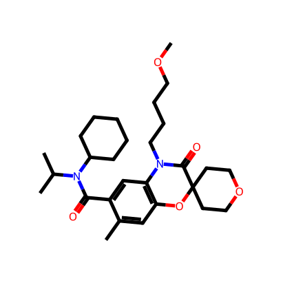 COCCCCN1C(=O)C2(CCOCC2)Oc2cc(C)c(C(=O)N(C(C)C)C3CCCCC3)cc21